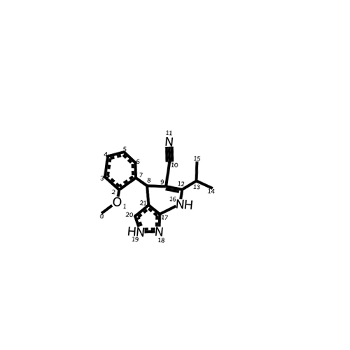 COc1ccccc1C1C(C#N)=C(C(C)C)Nc2n[nH]cc21